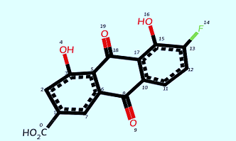 O=C(O)c1cc(O)c2c(c1)C(=O)c1ccc(F)c(O)c1C2=O